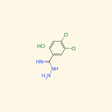 Cl.N=C(NN)c1ccc(Cl)c(Cl)c1